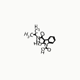 CC(C)NC(=O)c1c(O)n(C(=O)O)c2ccccc12